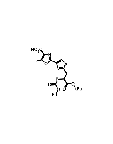 Cc1oc(-c2csc(CC(NC(=O)OC(C)(C)C)C(=O)OC(C)(C)C)n2)nc1C(=O)O